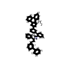 CN/C(=N\C(CCc1cccc(-c2ccccc2)c1)c1ccccc1)c1ccccc1-c1cccc(-c2ccc3c(c2)-c2ccccc2C2C=CC=CC32C)c1